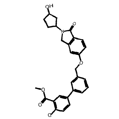 COC(=O)c1cc(-c2cccc(COc3ccc4c(c3)CN(C3CCC(O)C3)C4=O)c2)ccc1Cl